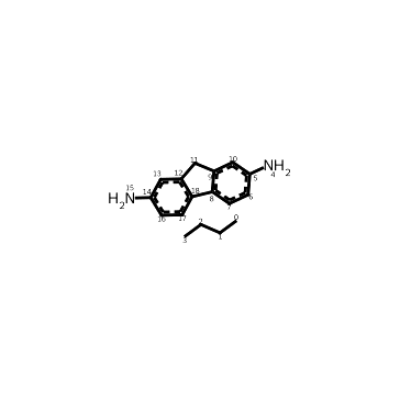 CCCC.Nc1ccc2c(c1)Cc1cc(N)ccc1-2